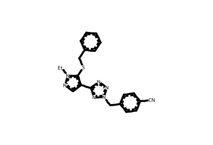 CCn1ncc(-c2nnn(Cc3ccc(C#N)cc3)n2)c1SCc1ccccc1